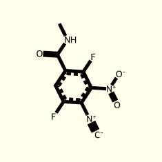 [C-]#[N+]c1c(F)cc(C(=O)NC)c(F)c1[N+](=O)[O-]